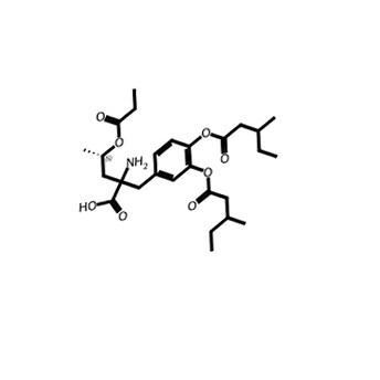 CCC(=O)O[C@@H](C)CC(N)(Cc1ccc(OC(=O)CC(C)CC)c(OC(=O)CC(C)CC)c1)C(=O)O